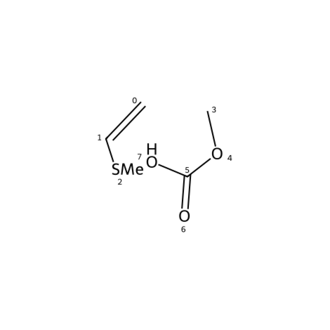 C=CSC.COC(=O)O